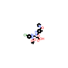 Cc1cc(C(=O)N[C@@H](CCC(=O)O)c2nc3cc(Cl)ccc3n2C(=O)OC(C)(C)C)ccc1C(=O)N1CCCC1